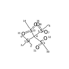 C[Si](C)(C)C(S(C)(=O)=O)(S(C)(=O)=O)S(C)(=O)=O